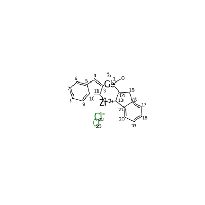 [CH3][Ge]1([CH3])[C]2=Cc3ccccc3[CH]2[Zr+2][CH]2[C]1=Cc1ccccc12.[Cl-].[Cl-]